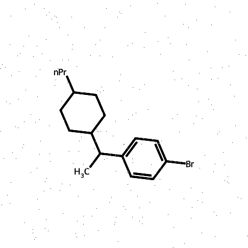 CCCC1CCC(C(C)c2ccc(Br)cc2)CC1